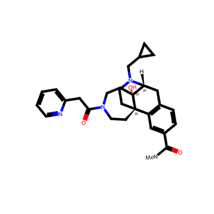 CNC(=O)c1ccc2c(c1)[C@@]13CCN(C(=O)Cc4ccccn4)CC[C@@]1(O)[C@@H](C2)N(CC1CC1)CC3